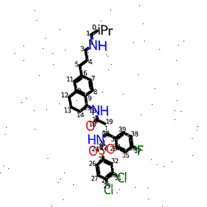 CC(C)CNCCCc1ccc2c(c1)CCCC2NC(=O)C[C@@H](NS(=O)(=O)c1ccc(Cl)c(Cl)c1)c1ccc(F)cc1